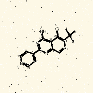 CC(C)(C)c1ncc2nc(-c3ccncc3)nc(N)c2c1Cl